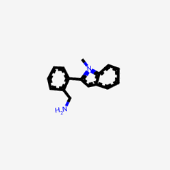 Cn1c(-c2ccccc2CN)cc2ccccc21